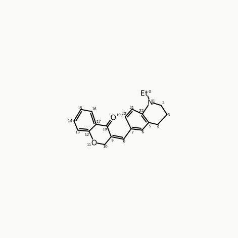 CCN1CCCc2cc(/C=C3/COc4ccccc4C3=O)ccc21